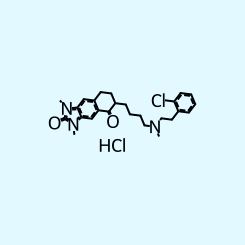 CN(CCCCC1CCc2cc3c(cc2C1=O)n(C)c(=O)n3C)CCc1ccccc1Cl.Cl